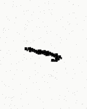 C=CC(=O)OCCCCOc1ccc(/C=C/C(=O)Oc2ccc(OCCCCOC(=O)C(=C)CC(=O)OC)cc2)cc1